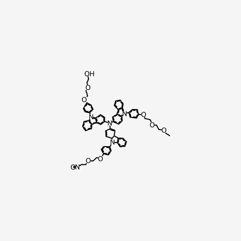 CCOCCOCCOc1ccc(-n2c3ccccc3c3cc(N(C4=CC5c6ccccc6N(c6ccc(OCCOCCN=O)cc6)C5C=C4)c4ccc5c(c4)c4ccccc4n5-c4ccc(OCCOCCO)cc4)ccc32)cc1